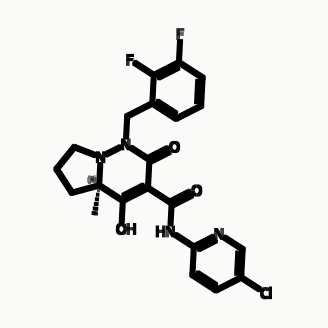 C[C@]12CCCN1N(Cc1cccc(F)c1F)C(=O)C(C(=O)Nc1ccc(Cl)cn1)=C2O